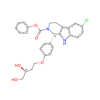 O=C(Oc1ccccc1)N1CCc2c([nH]c3ccc(Cl)cc23)[C@@H]1c1ccc(OCC[C@H](O)CO)cc1